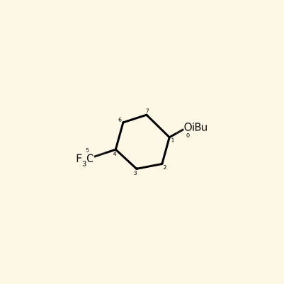 CC(C)COC1CCC(C(F)(F)F)CC1